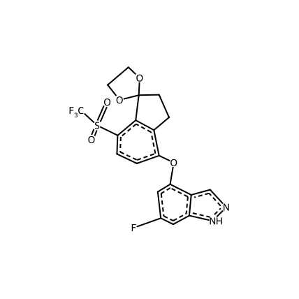 O=S(=O)(c1ccc(Oc2cc(F)cc3[nH]ncc23)c2c1C1(CC2)OCCO1)C(F)(F)F